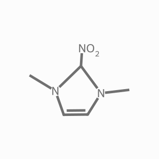 CN1C=CN(C)C1[N+](=O)[O-]